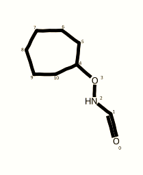 O=CNOC1CCCCCC1